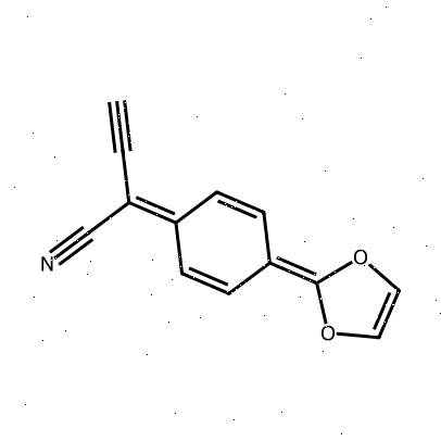 C#CC(C#N)=c1ccc(=C2OC=CO2)cc1